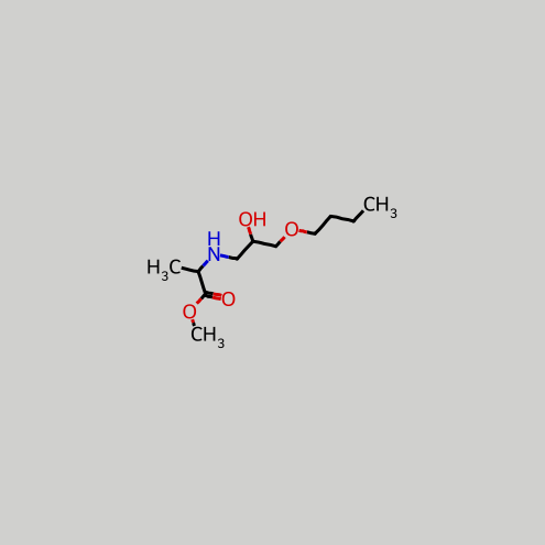 CCCCOCC(O)CNC(C)C(=O)OC